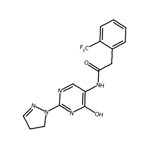 O=C(Cc1ccccc1C(F)(F)F)Nc1cnc(N2CCC=N2)nc1O